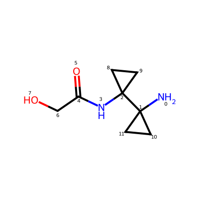 NC1(C2(NC(=O)CO)CC2)CC1